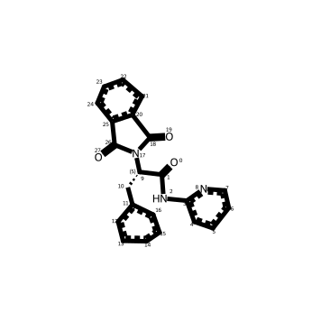 O=C(Nc1ccccn1)[C@H](Cc1ccccc1)N1C(=O)c2ccccc2C1=O